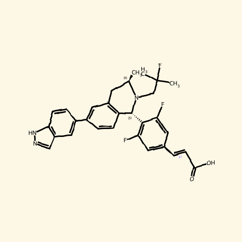 C[C@@H]1Cc2cc(-c3ccc4[nH]ncc4c3)ccc2[C@@H](c2c(F)cc(/C=C/C(=O)O)cc2F)N1CC(C)(C)F